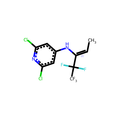 C/C=C(\Nc1cc(Cl)nc(Cl)c1)C(F)(F)C(F)(F)F